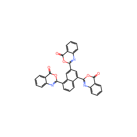 O=c1oc(-c2cc(-c3nc4ccccc4c(=O)o3)c3cccc(-c4nc5ccccc5c(=O)o4)c3c2)nc2ccccc12